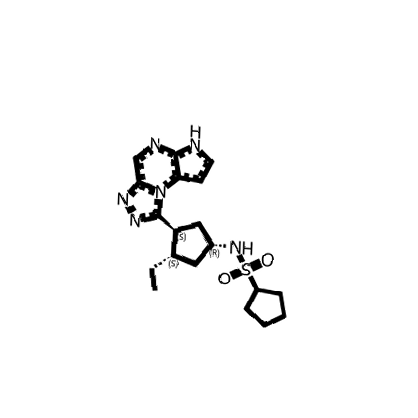 CC[C@H]1C[C@@H](NS(=O)(=O)C2CCCC2)C[C@@H]1c1nnc2cnc3[nH]ccc3n12